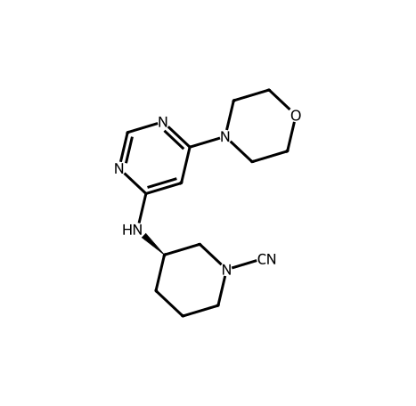 N#CN1CCC[C@@H](Nc2cc(N3CCOCC3)ncn2)C1